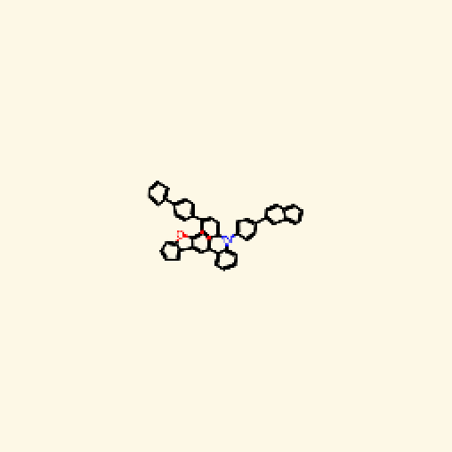 c1ccc(-c2ccc(-c3ccc(N(c4ccc(-c5ccc6ccccc6c5)cc4)c4ccccc4-c4ccc5oc6ccccc6c5c4)cc3)cc2)cc1